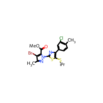 COC(=O)c1c(Br)c(C)nn1-c1nc(-c2ccc(C)c(Cl)c2)c(SC(C)C)s1